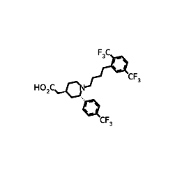 O=C(O)C[C@H]1CCN(CCCCc2cc(C(F)(F)F)ccc2C(F)(F)F)[C@H](c2ccc(C(F)(F)F)cc2)C1